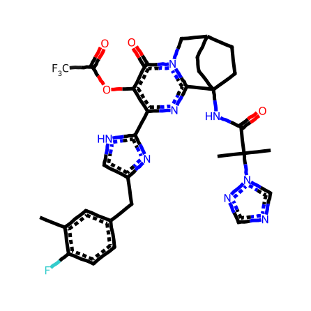 Cc1cc(Cc2c[nH]c(-c3nc4n(c(=O)c3OC(=O)C(F)(F)F)CC3CCC4(NC(=O)C(C)(C)n4cncn4)CC3)n2)ccc1F